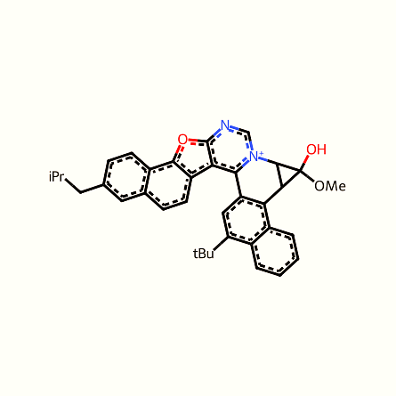 COC1(O)C2c3c(cc(C(C)(C)C)c4ccccc34)-c3c4c(nc[n+]3C21)oc1c2ccc(CC(C)C)cc2ccc14